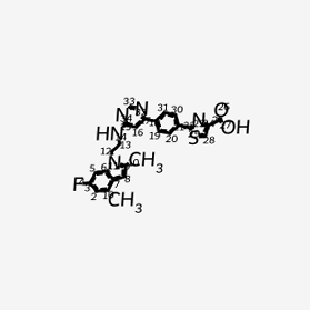 Cc1cc(F)cc2c1cc(C)n2CCNc1cc(-c2ccc(-c3nc(C(=O)O)cs3)cc2)ncn1